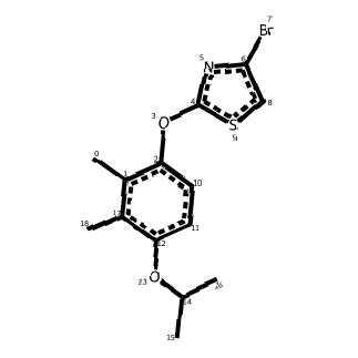 Cc1c(Oc2nc(Br)cs2)ccc(OC(C)C)c1C